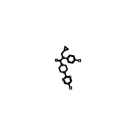 O=C(N1CCN(c2ncc(Cl)cn2)CC1)N(CC1CC1)c1ccc(Cl)cc1